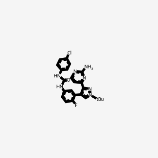 CC(C)(C)n1cc(-c2cc(NC(=O)Nc3ccc(Cl)cc3)ccc2F)c(-c2ccnc(N)n2)n1